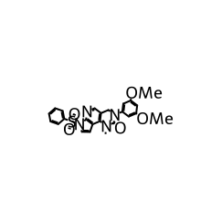 COc1cc(OC)cc(N2Cc3cnc4c(ccn4S(=O)(=O)c4ccccc4)c3N(C)C2=O)c1